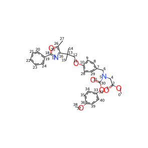 COC(=O)CN(Cc1ccc(OCC(C)(C)c2nc(-c3ccccc3)oc2C)cc1)C(=O)Oc1ccc(OC)cc1